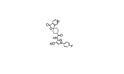 O=C1OC2(CCC(C(=O)Nc3nn(-c4ccc(F)cc4)cc3O)CC2)c2cnccc21